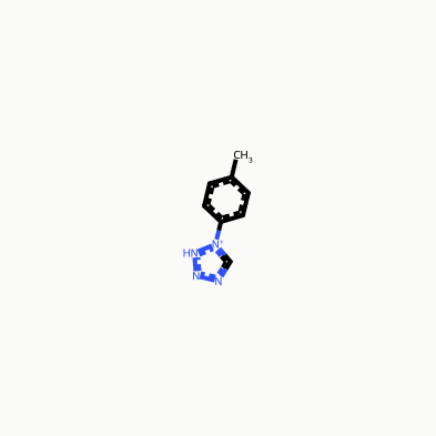 Cc1ccc(-[n+]2cnn[nH]2)cc1